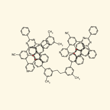 Cc1cc(C)cc(-c2ccc3c(c2)c2cc(-c4cc(C)cc(CCc5cc(C)cc(-c6ccc7c(c6)c6ccccc6n7-c6c(-c7nc(-c8ccccc8)nc(-c8ccccc8)n7)cc(C#N)cc6-c6cnccc6-n6c7ccccc7c7ccccc76)c5)c4)ccc2n3-c2c(-c3nc(-c4ccccc4)nc(-c4ccccc4)n3)cc(C#N)cc2-c2cnccc2-n2c3ccccc3c3ccccc32)c1